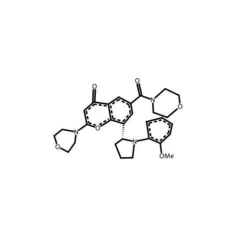 COc1ccccc1N1CCC[C@@H]1c1cc(C(=O)N2CCOCC2)cc2c(=O)cc(N3CCOCC3)oc12